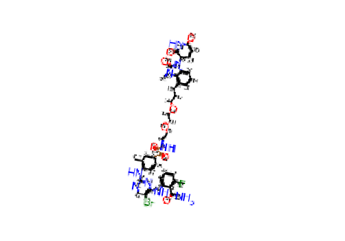 Cc1cc(S(=O)(=O)NCCOCCOCCCc2cccc3c2n(C)c(=O)n3C2CCC(=O)NC2=O)ccc1Nc1ncc(Br)c(Nc2cccc(F)c2C(N)=O)n1